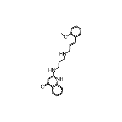 COc1ccccc1/C=C/CNCCCNc1cc(=O)c2ccccc2[nH]1